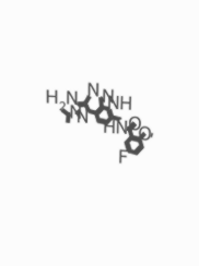 COc1ccc(F)cc1C(=O)NCc1ccc(-c2nn(C(C)C)c(N)c2C#N)c2cn[nH]c12